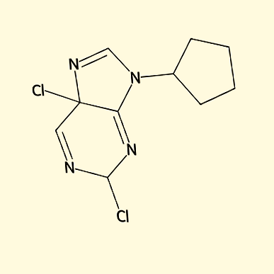 ClC1N=CC2(Cl)N=CN(C3CCCC3)C2=N1